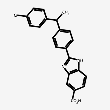 CC(c1ccc(Cl)cc1)c1ccc(-c2nc3cc(C(=O)O)ccc3[nH]2)cc1